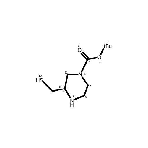 CC(C)(C)OC(=O)N1CCN[C@@H](CS)C1